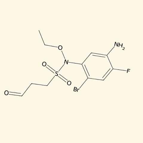 CCON(c1cc(N)c(F)cc1Br)S(=O)(=O)CCC=O